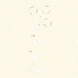 CCCN1CCC[C@H](CNC(=O)CCNC(=O)CNC(=O)CC(c2ccccc2)(c2ccccc2)c2ccccc2)C1